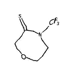 FC(F)(F)N1CCOCC1=S